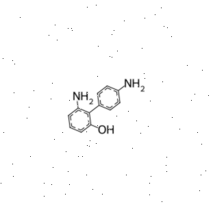 Nc1ccc(-c2c(N)cccc2O)cc1